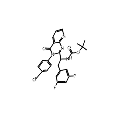 CC(C)(C)OC(=O)NC(Cc1cc(F)cc(F)c1)c1nc2ncccc2c(=O)n1-c1ccc(Cl)cc1